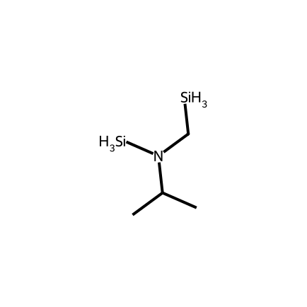 CC(C)N([SiH3])C[SiH3]